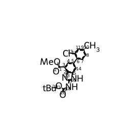 COC(=O)c1cc(-c2ccc(C)cc2Cl)cc2[nH]c(NC(=O)OC(C)(C)C)nc12